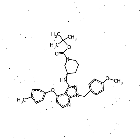 COc1ccc(Cn2nc(N[C@@H]3CCCN(C(=O)OC(C)(C)C)C3)c3c(Oc4ccc(C)cc4)ccnc32)cc1